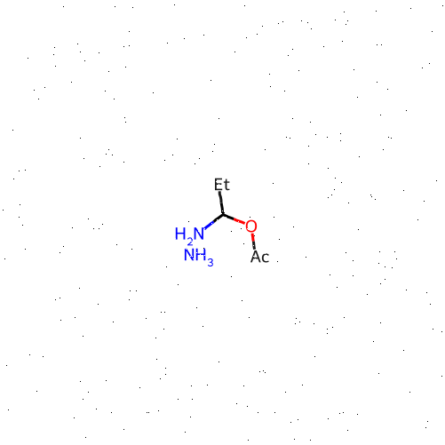 CCC(N)OC(C)=O.N